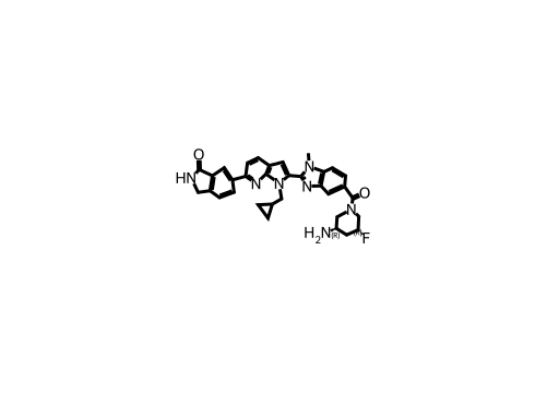 Cn1c(-c2cc3ccc(-c4ccc5c(c4)C(=O)NC5)nc3n2CC2CC2)nc2cc(C(=O)N3C[C@H](N)C[C@@H](F)C3)ccc21